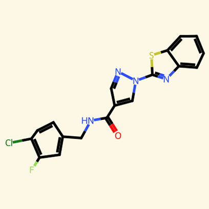 O=C(NCc1ccc(Cl)c(F)c1)c1cnn(-c2nc3ccccc3s2)c1